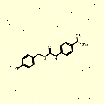 CS[C@@H](C)c1ccc(NC(=O)NCc2ccc(Cl)cc2)cc1